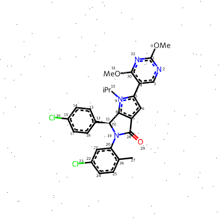 COc1ncc(-c2cc3c(n2C(C)C)[C@H](c2ccc(Cl)cc2)N(c2cc(Cl)ccc2C)C3=O)c(OC)n1